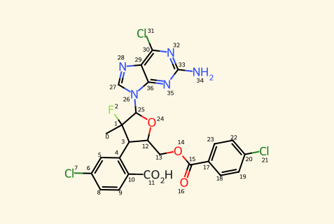 CC1(F)C(c2cc(Cl)ccc2C(=O)O)C(COC(=O)c2ccc(Cl)cc2)OC1n1cnc2c(Cl)nc(N)nc21